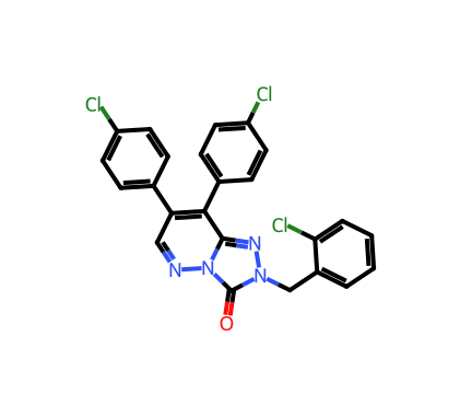 O=c1n(Cc2ccccc2Cl)nc2c(-c3ccc(Cl)cc3)c(-c3ccc(Cl)cc3)cnn12